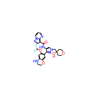 O=C(Nc1cn(CC2(O)CCOCC2)nc1-c1cc2c(cc1OC(F)F)NCCO2)c1cnn2cccnc12